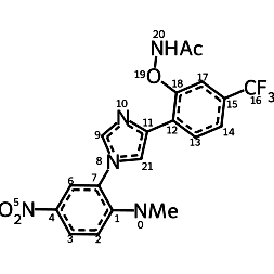 CNc1ccc([N+](=O)[O-])cc1-n1cnc(-c2ccc(C(F)(F)F)cc2ONC(C)=O)c1